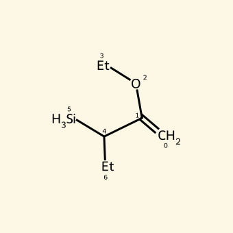 C=C(OCC)C([SiH3])CC